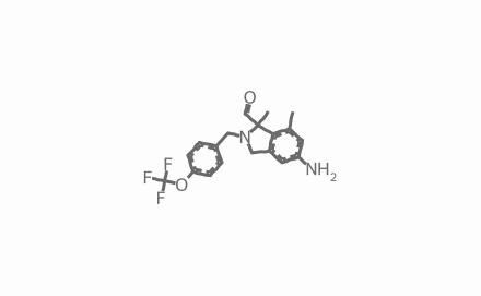 Cc1cc(N)cc2c1C(C)(C=O)N(Cc1ccc(OC(F)(F)F)cc1)C2